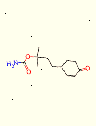 CC(C)(CCC1CCC(=O)CC1)OC(N)=O